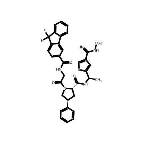 CC(=O)ONC(=N)c1csc([C@@H](C)NC(=O)[C@@H]2C[C@@H](c3ccccc3)CN2C(=O)CNC(=O)c2ccc3c(c2)-c2ccccc2C3(F)F)c1